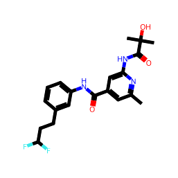 Cc1cc(C(=O)Nc2cccc(CCC(F)F)c2)cc(NC(=O)C(C)(C)O)n1